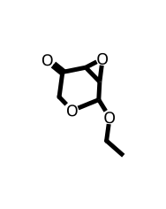 CCOC1OCC(=O)C2OC12